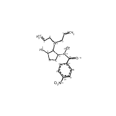 C=CCN(CC=C)C1C(S)CCC1N(CC)C(=O)c1ccc([N+](=O)[O-])cc1